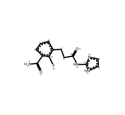 NC(=O)c1cccc(C[CH]C(=O)Nc2ncc[nH]2)c1F